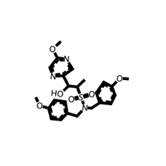 COc1ccc(CN(Cc2ccc(OC)cc2)S(=O)(=O)C(C)C(O)c2cnc(OC)cn2)cc1